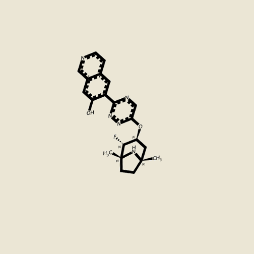 C[C@@]12CC[C@@](C)(N1)[C@H](F)[C@@H](Oc1cnc(-c3cc4ccncc4cc3O)nn1)C2